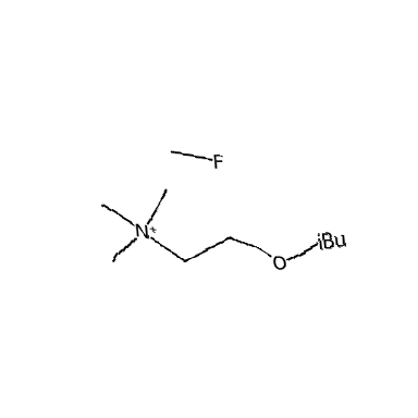 CCC(C)OCC[N+](C)(C)C.CF